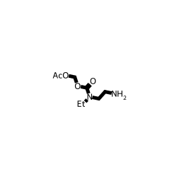 CCN(CCN)C(=O)OCOC(C)=O